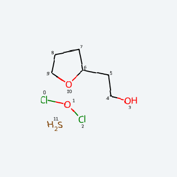 ClOCl.OCCC1CCCO1.S